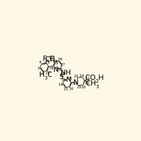 Cc1cccc(C)c1-c1nc(NSc2cccc(N3CCC(C)(C(=O)O)CC3)n2)ccc1C(F)(F)F